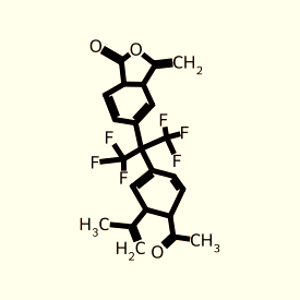 C=C(C)C1C=C(C(C2=CC3C(=C)OC(=O)C3C=C2)(C(F)(F)F)C(F)(F)F)C=CC1C(C)=O